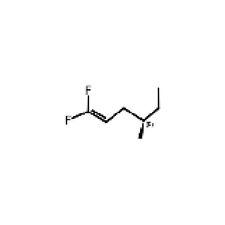 CC[C@@H](C)CC=C(F)F